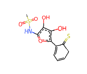 CS(=O)(=O)Nc1oc(C2=CC=CCC2=S)c(O)c1O